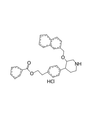 Cl.O=C(OCCc1ccc(C2CCNCC2OCc2ccc3ccccc3c2)cc1)c1ccccc1